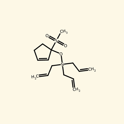 C=CC[Si](CC=C)(CC=C)OC1(S(C)(=O)=O)C=CCC1